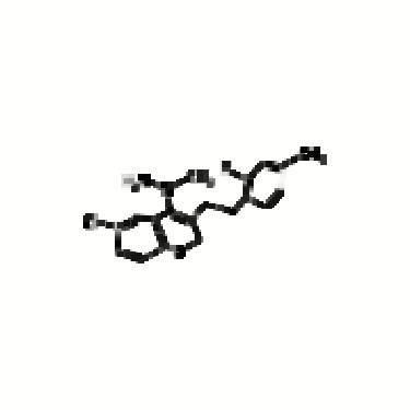 Cc1ccc(CCC2=C(N(C)N)c3cc(Cl)ccc3OC2)c(F)c1